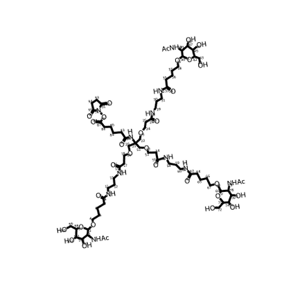 CC(=O)NC1C(OCCCCC(=O)NCCCNC(=O)CCOCC(COCCC(=O)NCCCNC(=O)CCCCOC2OC(CO)C(O)C(O)C2NC(C)=O)(COCCC(=O)NCCCNC(=O)CCCCOC2OC(CO)C(O)C(O)C2NC(C)=O)NC(=O)CCCCC(=O)ON2C(=O)CCC2=O)OC(CO)C(O)C1O